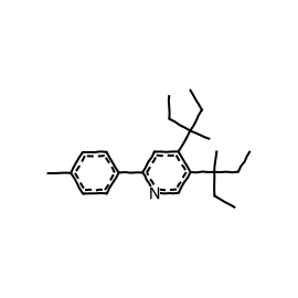 CCC(C)(CC)c1cnc(-c2ccc(C)cc2)cc1C(C)(CC)CC